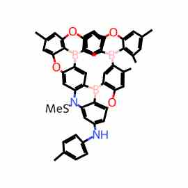 CSN1c2cc3c(cc2B2c4cc(B5c6ccccc6Oc6cc(C)cc(C)c65)c(C)cc4Oc4cc(Nc5ccc(C)cc5)cc1c42)B1c2ccccc2Oc2cc(C)cc(c21)O3